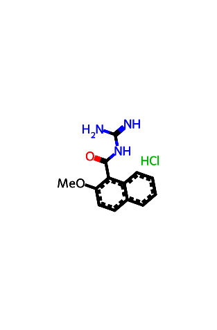 COc1ccc2ccccc2c1C(=O)NC(=N)N.Cl